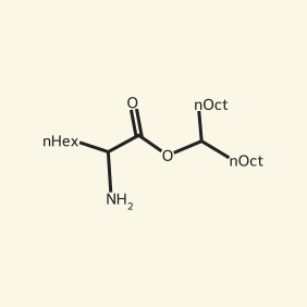 CCCCCCCCC(CCCCCCCC)OC(=O)C(N)CCCCCC